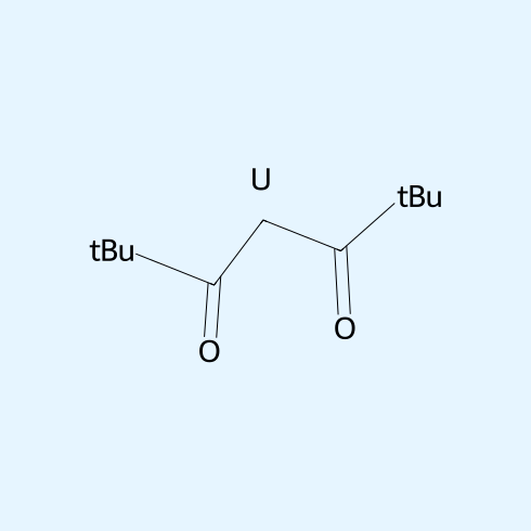 CC(C)(C)C(=O)CC(=O)C(C)(C)C.[U]